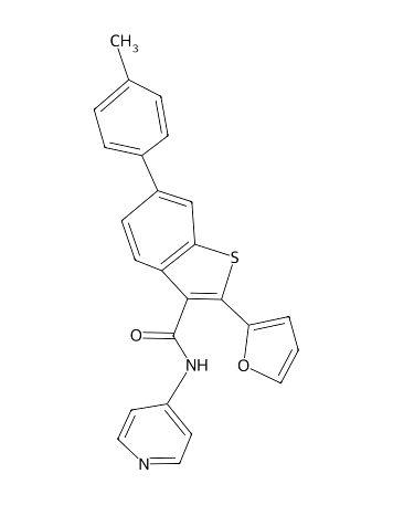 Cc1ccc(-c2ccc3c(C(=O)Nc4ccncc4)c(-c4ccco4)sc3c2)cc1